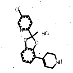 CC1(c2ccc(Cl)cn2)Oc2cccc(C3=CCNCC3)c2O1.Cl